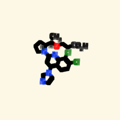 C[C@H](OCCC(=O)O)[C@@H]1CCCN1c1cc(-n2ccnc2)c2ccc(Cl)c(Cl)c2n1